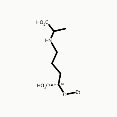 CCO[C@@H](CCCNC(C)C(=O)O)C(=O)O